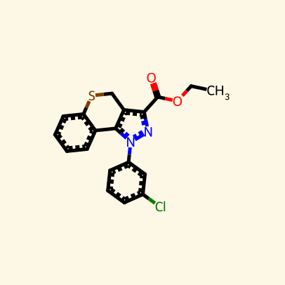 CCOC(=O)c1nn(-c2cccc(Cl)c2)c2c1CSc1ccccc1-2